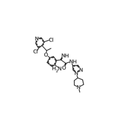 CC(Oc1ccc(N)c(C(=N)C(=O)Nc2cnn(C3CCN(C)CC3)c2)c1)c1c(Cl)cncc1Cl